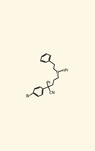 CCCN(CCCC(C#N)(c1ccc(Br)cc1)C(C)C)CCc1ccccc1